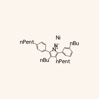 CCCCCC1=C(c2cccc(CCCC)c2)[N+](=[N-])C(c2ccc(CCCCC)cc2)=C1CCCC.[Ni]